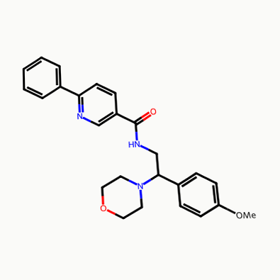 COc1ccc(C(CNC(=O)c2ccc(-c3ccccc3)nc2)N2CCOCC2)cc1